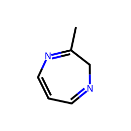 CC1=NC=CC=NC1